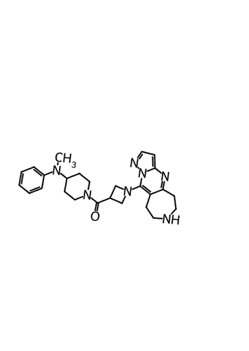 CN(c1ccccc1)C1CCN(C(=O)C2CN(c3c4c(nc5ccnn35)CCNCC4)C2)CC1